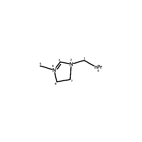 CCCCN1C=[N+](C)CC1